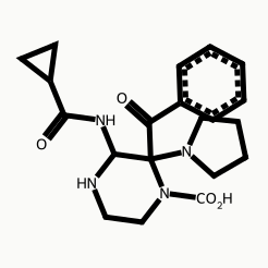 O=C(NC1NCCN(C(=O)O)C1(C(=O)c1ccccc1)N1CCCC1)C1CC1